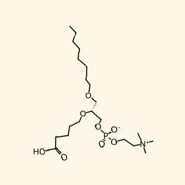 CCCCCCCCOC[C@H](COP(=O)([O-])OCC[N+](C)(C)C)OCCCCC(=O)O